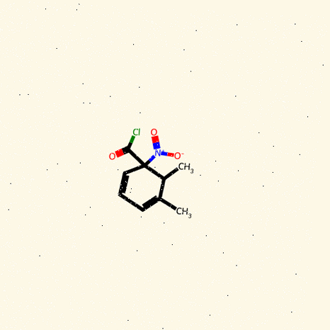 CC1=CC=CC(C(=O)Cl)([N+](=O)[O-])C1C